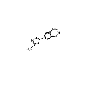 Cn1cc(-c2cc3cncnn3c2)cn1